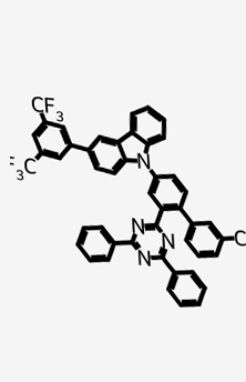 FC(F)(F)c1cccc(-c2ccc(-n3c4ccccc4c4cc(-c5cc(C(F)(F)F)cc(C(F)(F)F)c5)ccc43)cc2-c2nc(-c3ccccc3)nc(-c3ccccc3)n2)c1